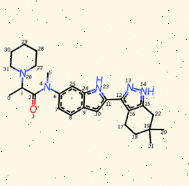 CC(C(=O)N(C)c1ccc2cc(-c3n[nH]c4c3CCC(C)(C)C4)[nH]c2c1)N1CCCCC1